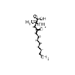 CCCCCCCCC(=O)CC(C)(C)C(=O)O